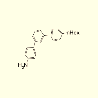 CCCCCCc1ccc(-c2cccc(-c3ccc(N)cc3)c2)cc1